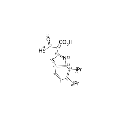 CC(C)c1ccc2sc(C(C(=O)O)C(=O)S)nc2c1C(C)C